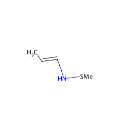 CC=CNSC